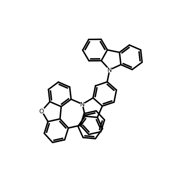 c1ccc(-c2cccc3oc4cccc(-n5c6ccccc6c6ccc(-n7c8ccccc8c8ccccc87)cc65)c4c23)cc1